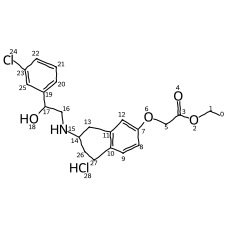 CCOC(=O)COc1ccc2c(c1)CC(NCC(O)c1cccc(Cl)c1)CC2.Cl